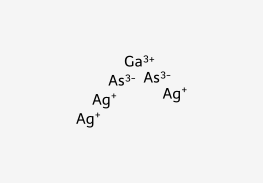 [Ag+].[Ag+].[Ag+].[As-3].[As-3].[Ga+3]